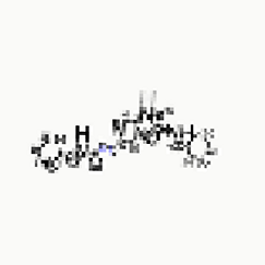 C[C@H](Nc1cnc(/C=C/C(=O)NOC2CCCCO2)cn1)C(=O)NCC1CCCCC1